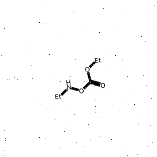 CCNOC(=O)OCC